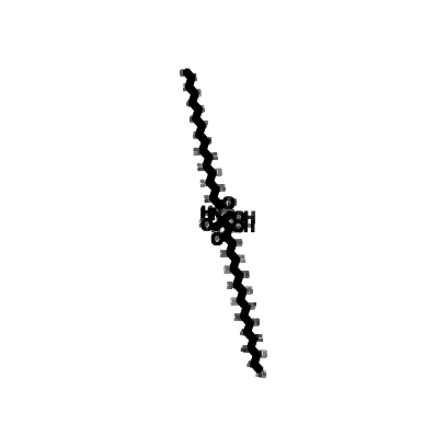 CCCCCCCCCCCCCCCCCC(=O)NC(CO)(CO)C(O)C(=O)CCCCCCCCCCCCCCCCC